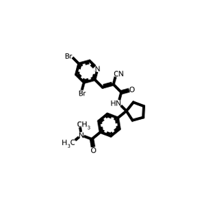 CN(C)C(=O)c1ccc(C2(NC(=O)C(C#N)=Cc3ncc(Br)cc3Br)CCCC2)cc1